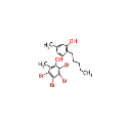 CCCCCc1ccc(C)cc1O.Cc1c(O)c(Br)c(Br)c(Br)c1Br